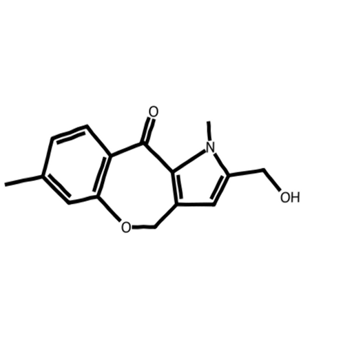 Cc1ccc2c(c1)OCc1cc(CO)n(C)c1C2=O